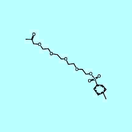 CC(=O)COCCOCCOCCOCCOS(=O)(=O)c1ccc(C)cc1